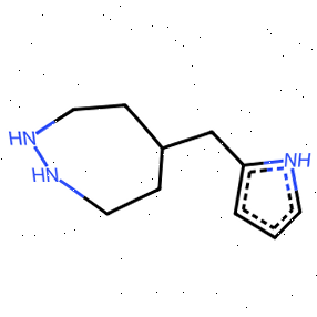 c1c[nH]c(CC2CCNNCC2)c1